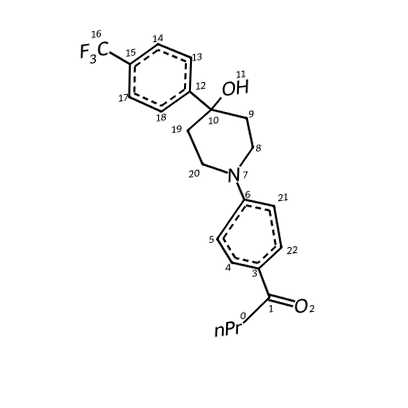 CCCC(=O)c1ccc(N2CCC(O)(c3ccc(C(F)(F)F)cc3)CC2)cc1